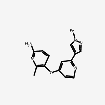 CCn1cc(-c2cc(Oc3ccc(N)nc3C)ccn2)cn1